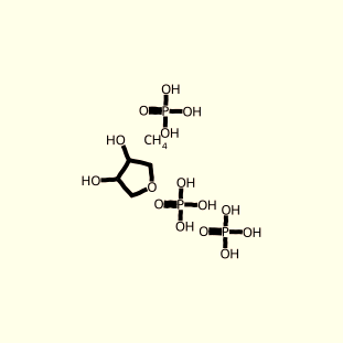 C.O=P(O)(O)O.O=P(O)(O)O.O=P(O)(O)O.OC1COCC1O